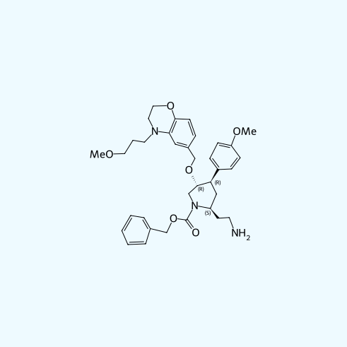 COCCCN1CCOc2ccc(CO[C@H]3CN(C(=O)OCc4ccccc4)[C@H](CCN)C[C@@H]3c3ccc(OC)cc3)cc21